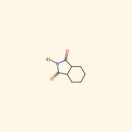 [CH2]CN1C(=O)C2CCCCC2C1=O